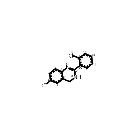 Fc1ccc2c(c1)CNC(c1ccccc1Cl)=N2